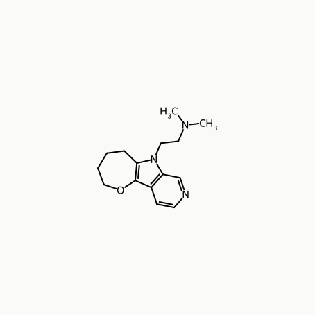 CN(C)CCn1c2c(c3ccncc31)OCCCC2